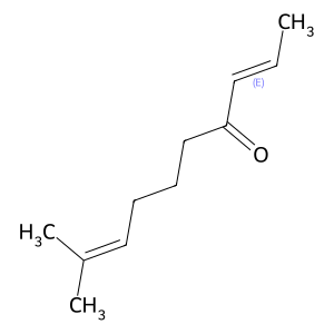 C/C=C/C(=O)CCCC=C(C)C